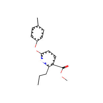 CCCc1nc(Oc2ccc(C)cc2)ccc1C(=O)OC